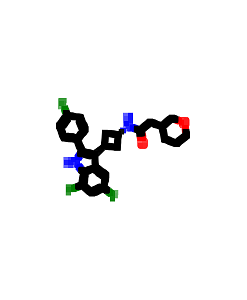 O=C(CC1CCCOC1)N[C@H]1C[C@H](c2c(-c3ccc(F)cc3)[nH]c3c(F)cc(F)cc32)C1